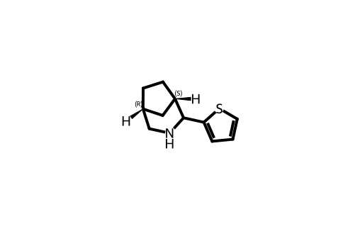 c1csc(C2NC[C@@H]3CC[C@H]2C3)c1